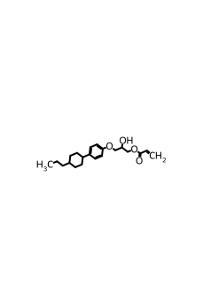 C=CC(=O)OCC(O)COc1ccc(C2CCC(CCC)CC2)cc1